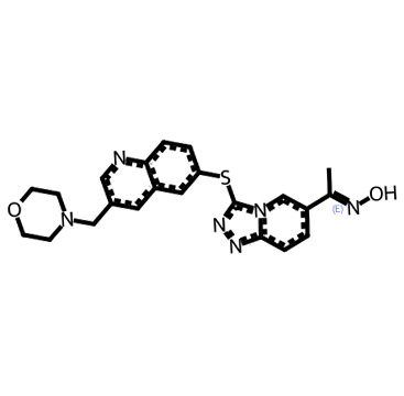 C/C(=N\O)c1ccc2nnc(Sc3ccc4ncc(CN5CCOCC5)cc4c3)n2c1